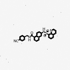 N#Cc1ccc(CNC(=O)c2cccc3cc(NS(=O)(=O)c4cccc5cccnc45)ccc23)cc1